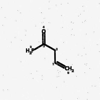 C=CCC(=O)P